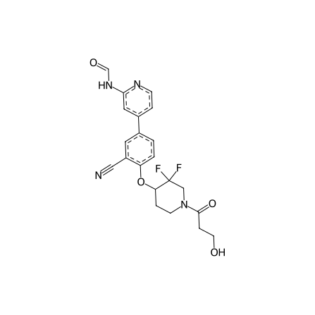 N#Cc1cc(-c2ccnc(NC=O)c2)ccc1OC1CCN(C(=O)CCO)CC1(F)F